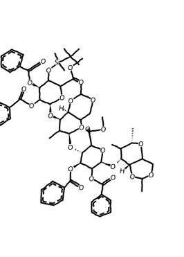 COC(=O)C1O[C@@H](O[C@@H]2C(C)[C@H](O[C@@H]3C(C(=O)OC)O[C@@H](O[C@@H]4C(C)[C@H](C)OC5COC(C)O[C@@H]54)C(OC(=O)c4ccccc4)[C@H]3OC(=O)c3ccccc3)OC3COC(C)O[C@@H]32)C(OC(=O)c2ccccc2)[C@@H](OC(=O)c2ccccc2)C1O[Si](C)(C)C(C)(C)C